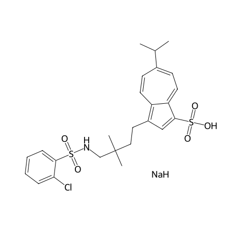 CC(C)c1ccc2c(CCC(C)(C)CNS(=O)(=O)c3ccccc3Cl)cc(S(=O)(=O)O)c-2cc1.[NaH]